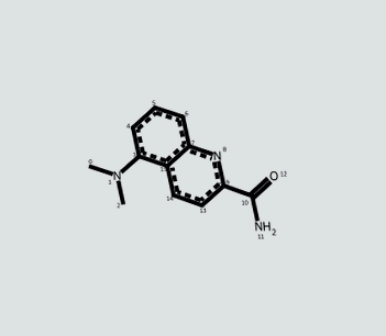 CN(C)c1cccc2nc(C(N)=O)ccc12